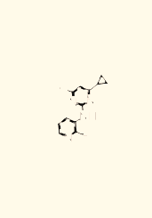 Cc1cc(C2CC2)nc(Nc2cccnc2F)n1